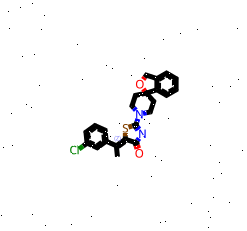 C/C(=C1/SC(N2CCC3(CC2)OCc2ccccc23)=NC1=O)c1cccc(Cl)c1